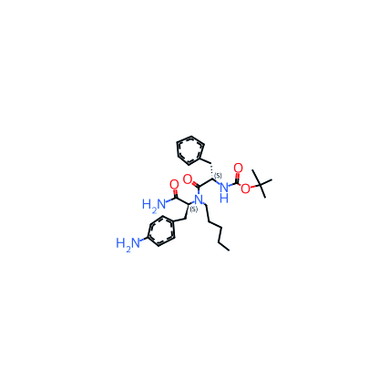 CCCCCN(C(=O)[C@H](Cc1ccccc1)NC(=O)OC(C)(C)C)[C@@H](Cc1ccc(N)cc1)C(N)=O